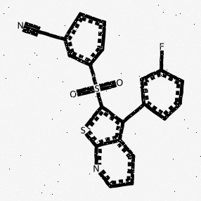 N#Cc1cccc(S(=O)(=O)c2sc3ncccc3c2-c2cccc(F)c2)c1